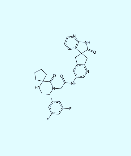 O=C(CN1C(=O)C2(CCCC2)NC[C@H]1c1cc(F)cc(F)c1)Nc1cnc2c(c1)CC1(C2)C(=O)Nc2ncccc21